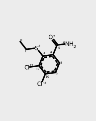 CCSc1c(C(N)=O)ccc(Cl)c1Cl